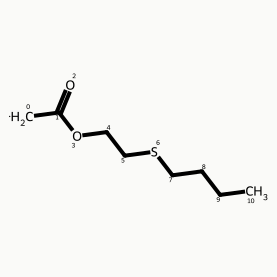 [CH2]C(=O)OCCSCCCC